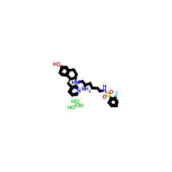 Cl.Cl.Cl.NC(CCCCNS(=O)(=O)c1ccccc1F)CN[C@@H]1CCc2cc(O)ccc2[C@@H]1Cc1cccnc1